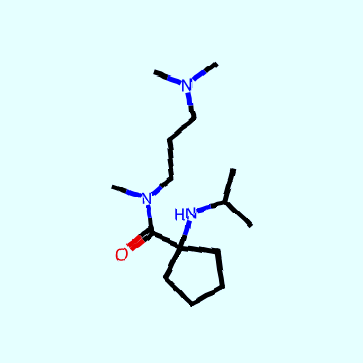 CC(C)NC1(C(=O)N(C)CCCN(C)C)CCCC1